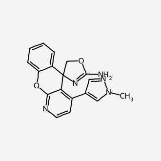 Cn1cc(-c2ccnc3c2C2(COC(N)=N2)c2ccccc2O3)cn1